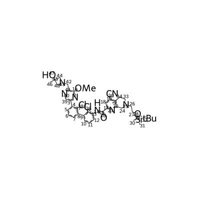 COc1nc(-c2cccc(-c3cccc(NC(=O)c4cc(C#N)c5c(n4)CN(CCO[Si](C)(C)C(C)(C)C)CC5)c3Cl)c2Cl)cnc1CN1CC(C)(O)C1